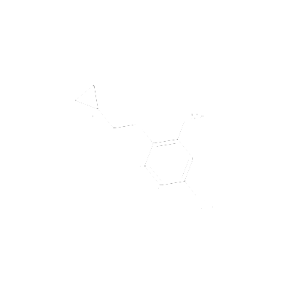 COc1cc(C(=O)O)ccc1OCC1CC1